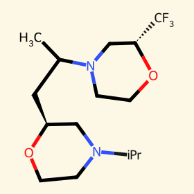 CC(C)N1CCO[C@@H](CC(C)N2CCO[C@@H](C(F)(F)F)C2)C1